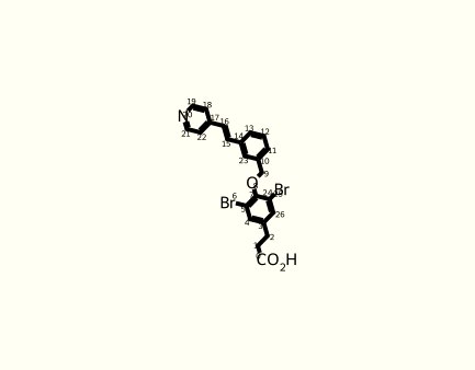 O=C(O)CCc1cc(Br)c(OCc2cccc(C=Cc3ccncc3)c2)c(Br)c1